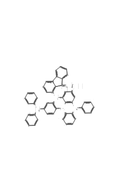 Cc1cc2c3c(c1)N(c1cccc4c1C(C)(C)c1ccccc1-4)c1cc(N(c4ccccc4)c4ccccc4)ccc1B3c1ccccc1N2c1ccccc1